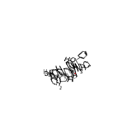 CN1C(=O)CC[C@@]2(C)C1=CC[C@@H]1[C@H]2CC[C@]2(C)C(C(=O)NC(c3ccccc3)C(O)c3ccccc3)CC[C@@H]12